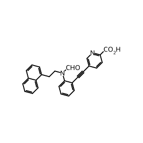 O=CN(CCc1cccc2ccccc12)c1ccccc1C#Cc1ccc(C(=O)O)nc1